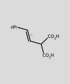 CCC/C=C/C(C(=O)O)C(=O)O